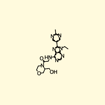 CCn1c(-c2cnc(C)nc2)nc2c(NCC(=O)N3CCOCC3CO)ncnc21